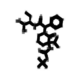 CC[C@H](NC(=O)C(c1ccccc1)N1CCCC(NC(=O)OC(C)(C)C)(C(C)C)C1=O)B(O)O